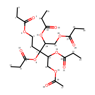 CCC(=O)OCCC(OC(=O)CC)(C(COC(C)=O)OC(=O)CC)C(COC(=O)CC)OC(=O)CC